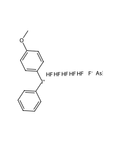 COc1ccc([I+]c2ccccc2)cc1.F.F.F.F.F.[As].[F-]